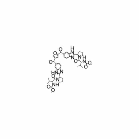 COC(=O)NC(C(=O)N1CCCC1c1nc2ccc(C(=O)c3coc(C(=O)c4ccc5nc(C6CCCN6C(=O)C(NC(=O)OC)C(C)C)[nH]c5c4)c3)cc2[nH]1)C(C)C